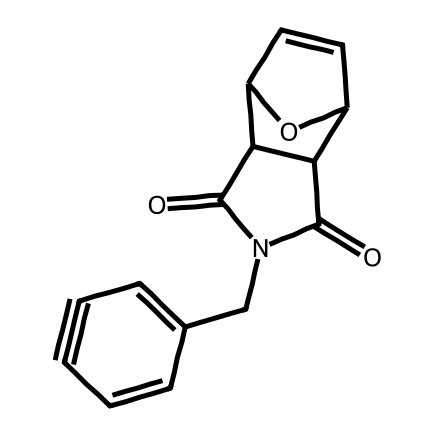 O=C1C2C3C=CC(O3)C2C(=O)N1Cc1cc#ccc1